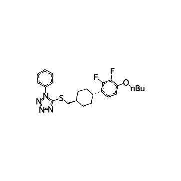 CCCCOc1ccc([C@H]2CC[C@H](CSc3nnnn3-c3ccccc3)CC2)c(F)c1F